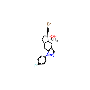 C[C@]12Cc3cnn(-c4ccc(F)cc4)c3C=C1CC[C@@]2(O)C#CBr